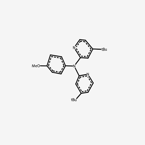 COc1ccc(N(c2cc(C(C)(C)C)ccn2)c2cc(C(C)(C)C)ccn2)cc1